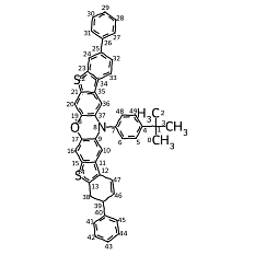 CC(C)(C)c1ccc(N2c3cc4c5c(sc4cc3Oc3cc4sc6cc(-c7ccccc7)ccc6c4cc32)CC(c2ccccc2)C=C5)cc1